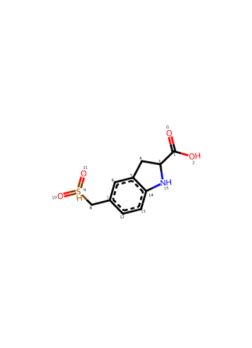 O=C(O)C1Cc2cc(C[SH](=O)=O)ccc2N1